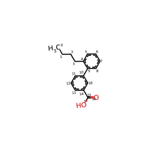 CCCCc1ccccc1-c1cccc(C(=O)O)c1